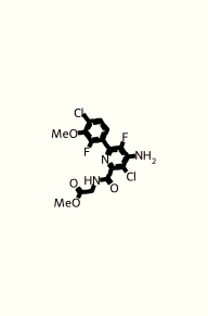 COC(=O)CNC(=O)c1nc(-c2ccc(Cl)c(OC)c2F)c(F)c(N)c1Cl